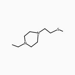 CCN1CCN(CCSC)CC1